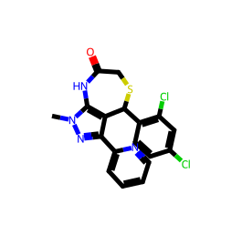 Cn1nc(-c2ccccn2)c2c1NC(=O)CSC2c1ccc(Cl)cc1Cl